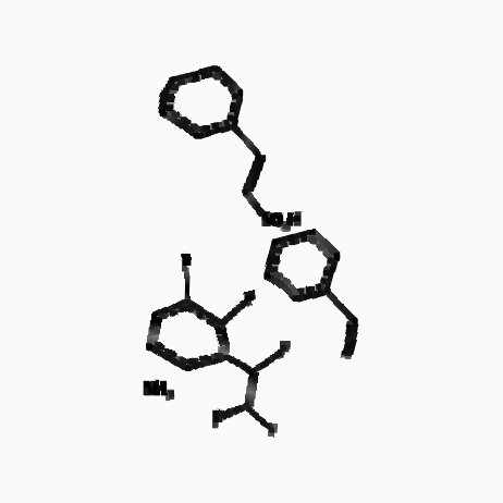 C=Cc1ccccc1.FC(F)=C(F)c1cccc(F)c1F.N.O=S(=O)(O)C=Cc1ccccc1